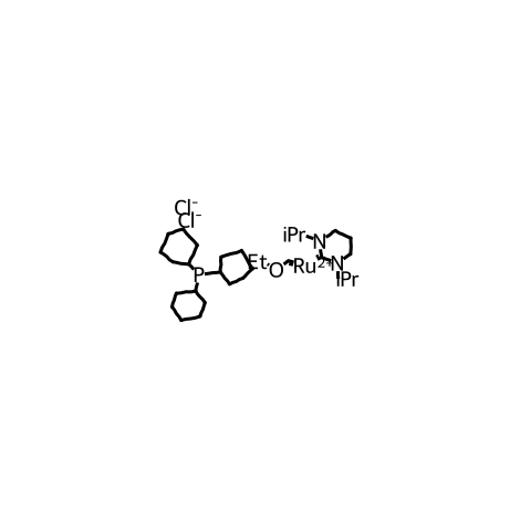 C1CCC(P(C2CCCCC2)C2CCCCC2)CC1.CCO[CH]=[Ru+2]=[C]1N(C(C)C)CCCN1C(C)C.[Cl-].[Cl-]